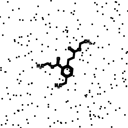 CCOC(=O)CCc1ccc(CC)cc1C(=O)OCC